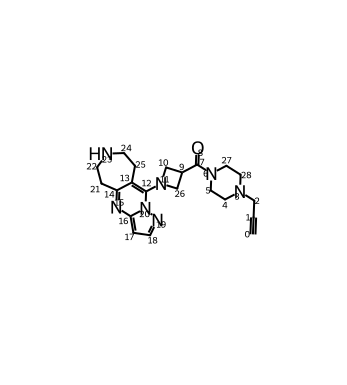 C#CCN1CCN(C(=O)C2CN(c3c4c(nc5ccnn35)CCNCC4)C2)CC1